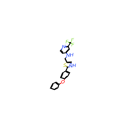 FC(F)(F)c1cc(NCC2=CNC(c3ccc(Oc4ccccc4)cc3)S2)ccn1